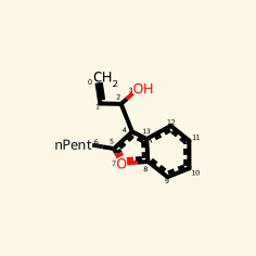 C=CC(O)c1c(CCCCC)oc2ccccc12